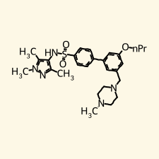 CCCOc1cc(CN2CCN(C)CC2)cc(-c2ccc(S(=O)(=O)Nc3c(C)nn(C)c3C)cc2)c1